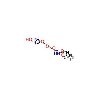 CC(C)(C)OC(=O)NCCOCCOCCOc1ccc(CO)nc1